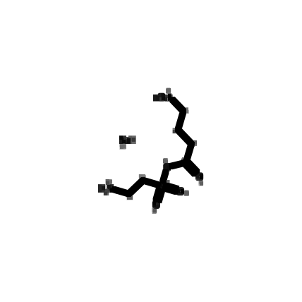 CCCCCCCCCCCC(=O)OS(=O)(=O)CCN.[NaH]